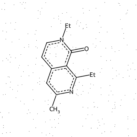 CCc1nc(C)cc2ccn(CC)c(=O)c12